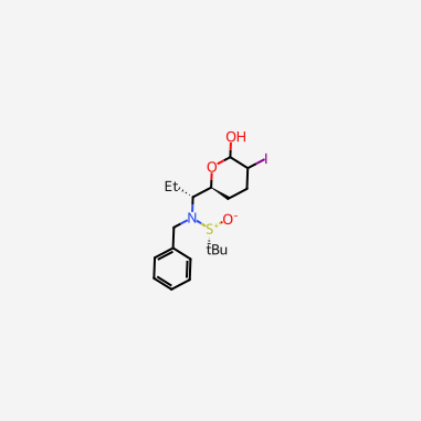 CC[C@H]([C@@H]1CCC(I)C(O)O1)N(Cc1ccccc1)[S@+]([O-])C(C)(C)C